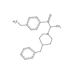 CCc1ccc(C(=O)C(C)N2CCC(Cc3ccccc3)CC2)cc1